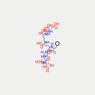 N[C@@H](CNC(=O)[C@H](Cc1ccccc1)NC(=O)CC[C@H](NCCC[C@H](NC(=O)N[C@@H](CCC(=O)O)C(=O)O)C(=O)O)C(=O)O)C(=O)N[C@@H](CC(=O)O)C(=O)N[C@@H](CS)C(=O)O